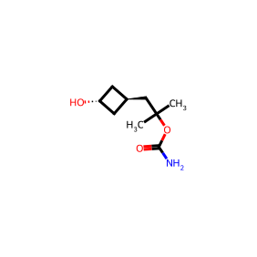 CC(C)(C[C@H]1C[C@H](O)C1)OC(N)=O